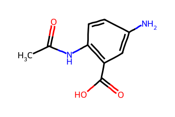 CC(=O)Nc1ccc(N)cc1C(=O)O